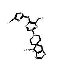 Nc1nc(N2CCC3(CC2)Cc2scnc2[C@H]3N)cnc1Sc1nc(Cl)cs1